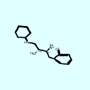 N[C@@H](Cc1ccccc1Cl)[C@H](O)CNC1CCCCC1